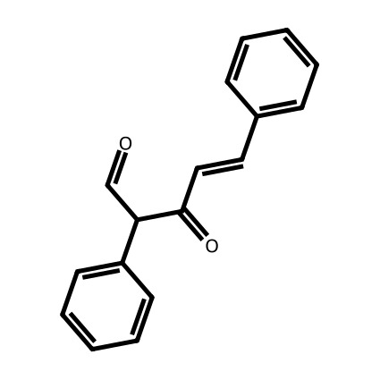 O=CC(C(=O)C=Cc1ccccc1)c1ccccc1